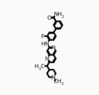 CC(c1ccc2cnc(Nc3ccc(-c4cccc(C(N)=O)c4)cc3F)cc2n1)C1CCN(C)CC1